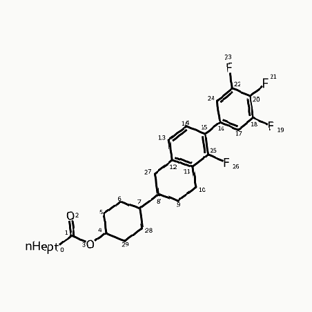 CCCCCCCC(=O)OC1CCC(C2CCc3c(ccc(-c4cc(F)c(F)c(F)c4)c3F)C2)CC1